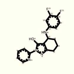 Oc1c2c(nn1-c1ccccn1)CCCC2Nc1ccc(F)c(F)c1